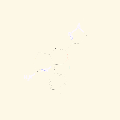 Cn1nc(C2CC3CSC(N)=NC3(c3ccc(F)cc3F)CO2)cc1F